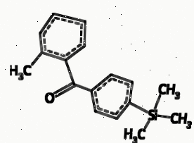 Cc1ccccc1C(=O)c1ccc([Si](C)(C)C)cc1